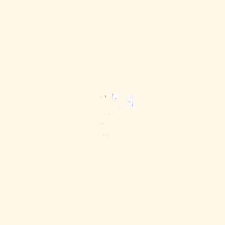 CCS12c3ccccc3NC1([N+](=O)[O-])C21C(=O)c2ccccc2C1=O